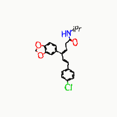 CC(C)NC(=O)C/C=C(/C=C/c1ccc(Cl)cc1)c1ccc2c(c1)OCO2